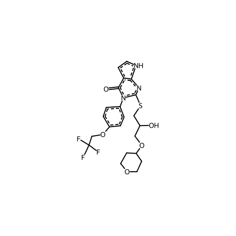 O=c1c2cc[nH]c2nc(SCC(O)COC2CCOCC2)n1-c1ccc(OCC(F)(F)F)cc1